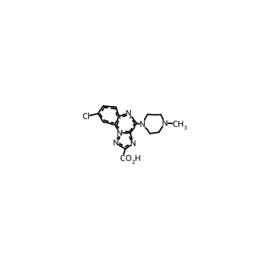 CN1CCN(c2nc3ccc(Cl)cc3n3nc(C(=O)O)nc23)CC1